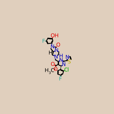 COC(=O)C1=C(CN2CCN3C(=O)N(c4cc(O)cc(F)c4)C[C@@H]3C2)NC(c2nccs2)=N[C@H]1c1ccc(F)cc1Cl